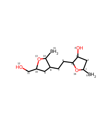 BC1CC(O)C(CCC2CC(CO)OC2B)O1